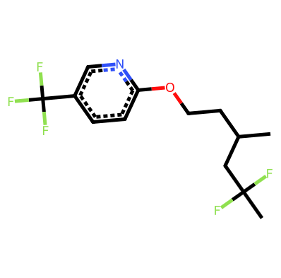 CC(CCOc1ccc(C(F)(F)F)cn1)CC(C)(F)F